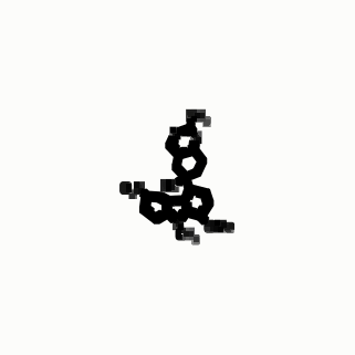 COc1ccc(C2(C#N)CCc3nc(N)ncc3C2)c2c3cc([N+](=O)[O-])ccc3n(C)c12